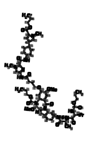 C=CCOC(=O)N[C@H](C(=O)N[C@@H](C)C(=O)Nc1ccc2c(c1)N1C(=O)c3cc(OC)c(OCCCC(=O)Nc4cn(C)c(C(=O)Nc5ccc(-c6cc(C(=O)OCC=C)n(C)c6)cc5)n4)cc3N(C(=O)OCC=C)[C@@H](OC)[C@@H]1C2)C(C)C